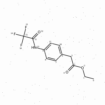 CCOC(=O)Cc1ccc(NC(=O)C(F)(F)F)cc1